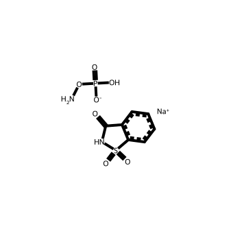 NOP(=O)([O-])O.O=C1NS(=O)(=O)c2ccccc21.[Na+]